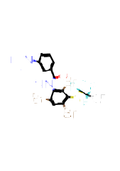 Nc1cccc(C(=O)Nc2c(Br)cc(Br)c(SC(F)(F)C(F)(F)C(F)(F)F)c2Br)c1